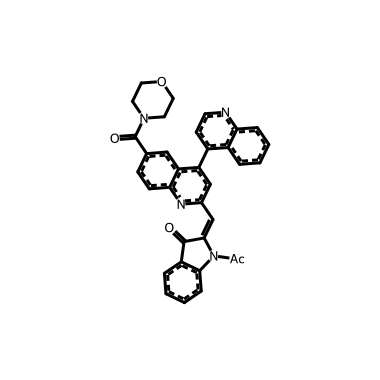 CC(=O)N1/C(=C/c2cc(-c3ccnc4ccccc34)c3cc(C(=O)N4CCOCC4)ccc3n2)C(=O)c2ccccc21